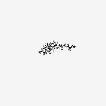 C[C@@H]1C[C@H]2[C@@H]3CCC4=CC(=O)C=C[C@]4(C)[C@@]3(F)[C@@H](O)C[C@]2(C)[C@@]1(O)C(=O)COC(=O)COCC(=O)O